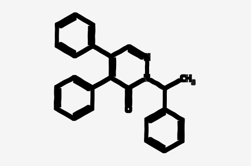 CC(c1ccccc1)n1ncc(-c2ccccc2)c(-c2ccccc2)c1=O